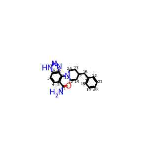 NC(=O)c1ccc2[nH]nnc2c1N1CCC(Cc2ccccc2)CC1